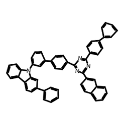 c1ccc(-c2ccc(-c3nc(-c4ccc(-c5cccc(-n6c7ccccc7c7ccc(-c8ccccc8)cc76)c5)cc4)nc(-c4ccc5ccccc5c4)n3)cc2)cc1